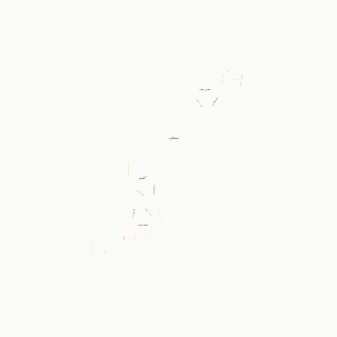 CCOc1ccc(-c2ccc(C3CCC(/C=C/CCc4ccc(CC)cc4)CC3)c(F)c2F)c(F)c1F